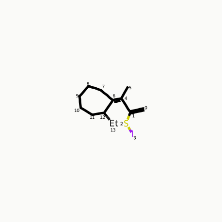 C=C(SI)/C(C)=C1/CCCCCC1CC